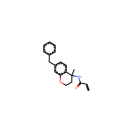 C=CC(=O)NC1(C)CCOc2cc(Cc3ccccc3)ccc21